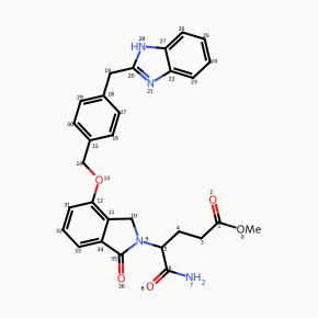 COC(=O)CCC(C(N)=O)N1Cc2c(OCc3ccc(Cc4nc5ccccc5[nH]4)cc3)cccc2C1=O